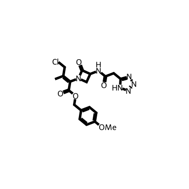 COc1ccc(COC(=O)/C(=C(\C)CCl)N2CC(NC(=O)Cc3nnn[nH]3)C2=O)cc1